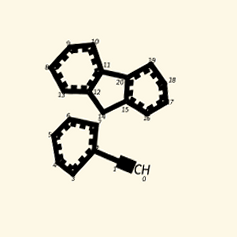 C#Cc1ccccc1.c1ccc2c(c1)Cc1ccccc1-2